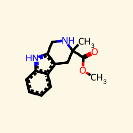 COC(=O)C1(C)Cc2c([nH]c3ccccc23)CN1